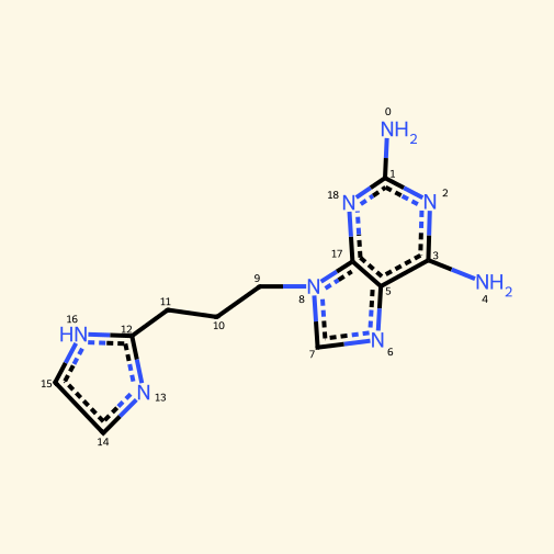 Nc1nc(N)c2ncn(CCCc3ncc[nH]3)c2n1